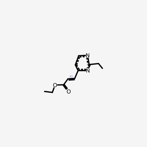 CCOC(=O)/C=C/c1ccnc(CC)n1